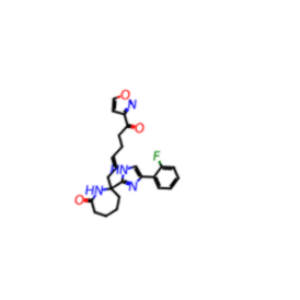 O=C1CCCCC(CC=CCCC(=O)c2ccon2)(c2nc(-c3ccccc3F)c[nH]2)N1